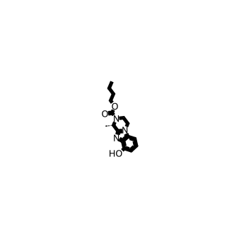 CCCCOC(=O)N1CCn2c(nc3c(O)cccc32)[C@@H]1C